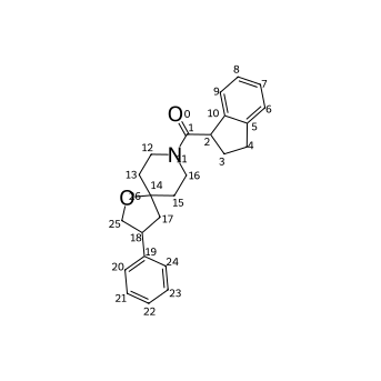 O=C(C1CCc2ccccc21)N1CCC2(CC1)CC(c1ccccc1)CO2